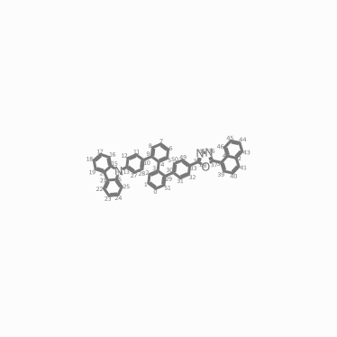 c1ccc(-c2ccccc2-c2ccc(-n3c4ccccc4c4ccccc43)cc2)c(-c2ccc(-c3nnc(-c4cccc5ccccc45)o3)cc2)c1